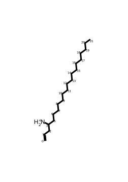 C=CCC(N)CCCCCCCCCCCCCCCCC